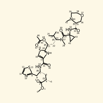 COC(=O)[C@@H](C)C[C@H](Cc1nccs1)NC(=O)c1csc([C@@H](C[C@H](C(C)C)N(C)C(=O)C2(NC(=O)[C@H]3COCCN3C)CC2)OC(C)=O)n1